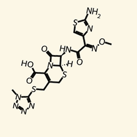 CO/N=C(/C(=O)N[C@@H]1C(=O)N2C(C(=O)O)=C(CSc3nnnn3C)CS[C@H]12)c1csc(N)n1